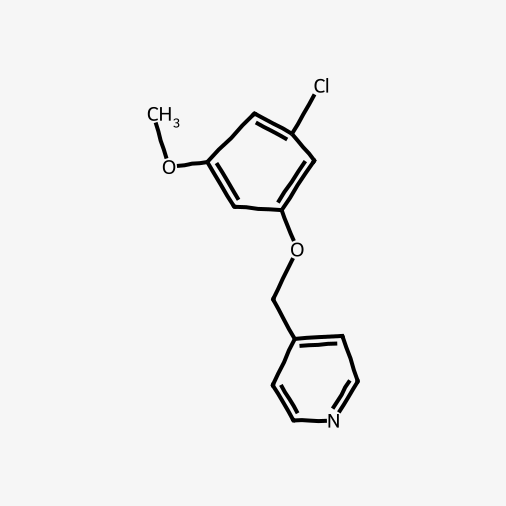 COc1cc(Cl)cc(OCc2ccncc2)c1